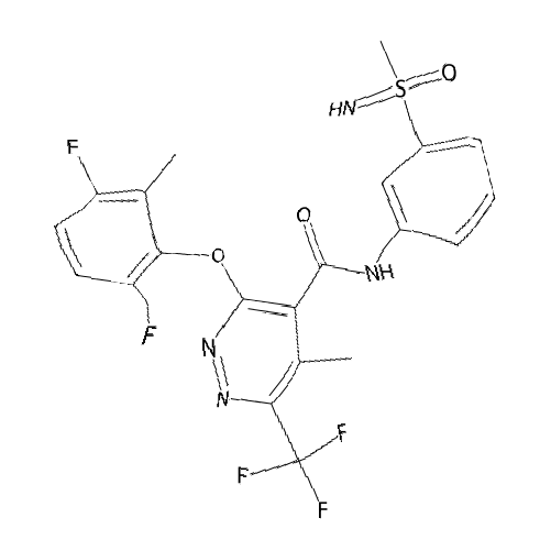 Cc1c(F)ccc(F)c1Oc1nnc(C(F)(F)F)c(C)c1C(=O)Nc1cccc(S(C)(=N)=O)c1